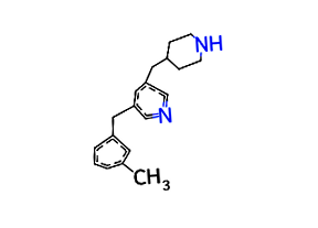 Cc1cccc(Cc2cncc(CC3CCNCC3)c2)c1